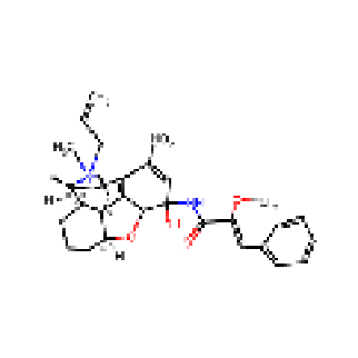 C=CC[N+]1(C)CC[C@@]23C4=C5C[C@@H]1[C@@H]2CCC[C@@H]3OC4C(O)(NC(=O)C(=Cc1ccccc1)OC(F)(F)F)C=C5[N+](=O)[O-]